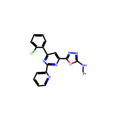 CC(C)Nc1nnc(-c2cc(-c3ccccc3Cl)nc(-c3ccccn3)n2)o1